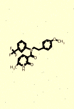 COc1ccc(CCN(C(=O)c2ccc(C)[nH]c2=O)c2cccc(C(F)(F)F)c2)cc1